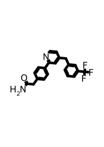 NC(=O)Cc1ccc(-c2cc(Cc3cccc(C(F)(F)F)c3)ccn2)cc1